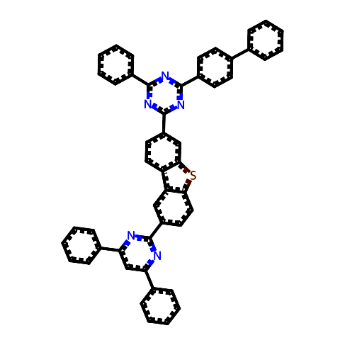 c1ccc(-c2ccc(-c3nc(-c4ccccc4)nc(-c4ccc5c(c4)sc4ccc(-c6nc(-c7ccccc7)cc(-c7ccccc7)n6)cc45)n3)cc2)cc1